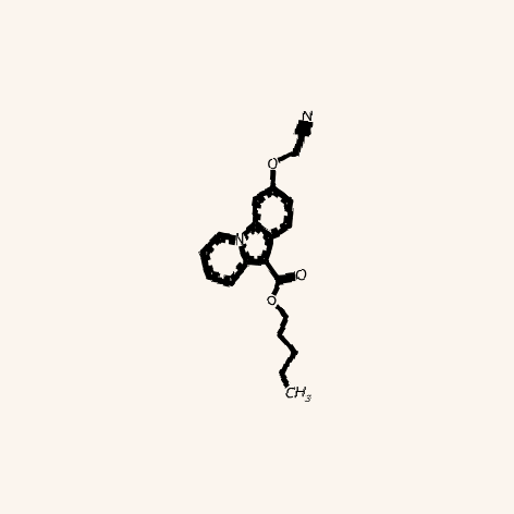 CCCCCOC(=O)c1c2ccc(OCC#N)cc2n2ccccc12